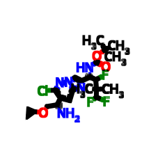 CC(C)(C)OC(=O)N[C@@H](c1cn2nc(Cl)c([C@H](N)COC3CC3)cc2n1)C(F)C(C)(C)C(F)F